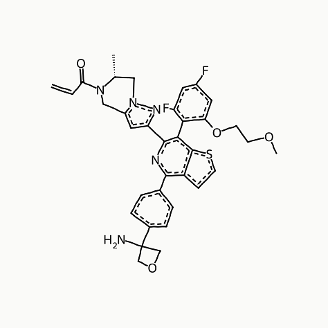 C=CC(=O)N1Cc2cc(-c3nc(-c4ccc(C5(N)COC5)cc4)c4ccsc4c3-c3c(F)cc(F)cc3OCCOC)nn2C[C@H]1C